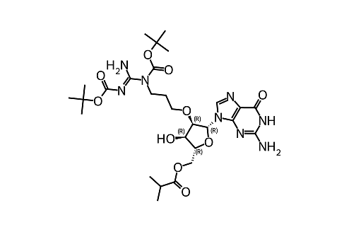 CC(C)C(=O)OC[C@H]1O[C@@H](n2cnc3c(=O)[nH]c(N)nc32)[C@H](OCCCN(C(=O)OC(C)(C)C)C(N)=NC(=O)OC(C)(C)C)[C@@H]1O